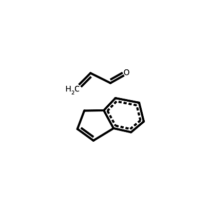 C1=Cc2ccccc2C1.C=CC=O